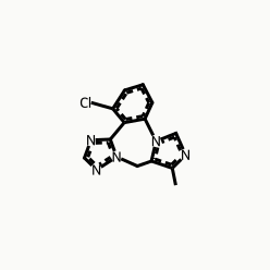 Cc1ncn2c1Cn1ncnc1-c1c(Cl)cccc1-2